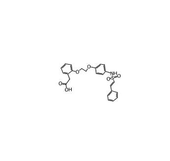 O=C(O)Cc1ccccc1OCCOc1ccc(NS(=O)(=O)C=Cc2ccccc2)cc1